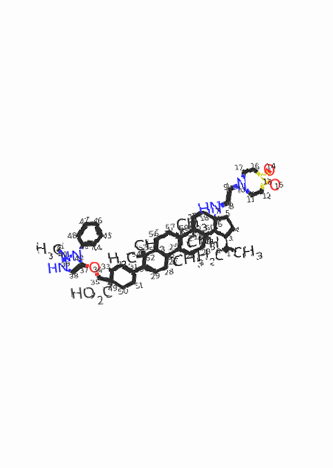 C=C(C)[C@@H]1CC[C@]2(NCCN3CCS(=O)(=O)CC3)CC[C@]3(C)[C@H](CCC4[C@@]5(C)CC=C(C6=CCC(COC7=CNN(C)N7c7ccccc7)(C(=O)O)CC6)C(C)(C)C5CC[C@]43C)C12